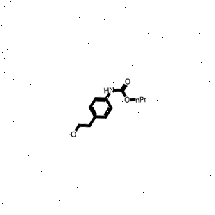 CCCOC(=O)Nc1ccc(CC[O])cc1